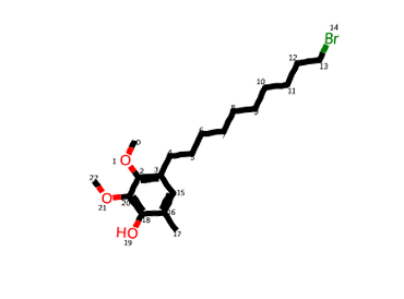 COc1c(CCCCCCCCCCBr)cc(C)c(O)c1OC